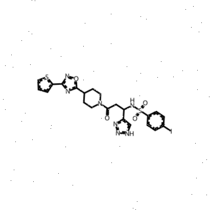 O=C(CC(NS(=O)(=O)c1ccc(I)cc1)c1c[nH]nn1)N1CCC(c2nc(-c3cccs3)no2)CC1